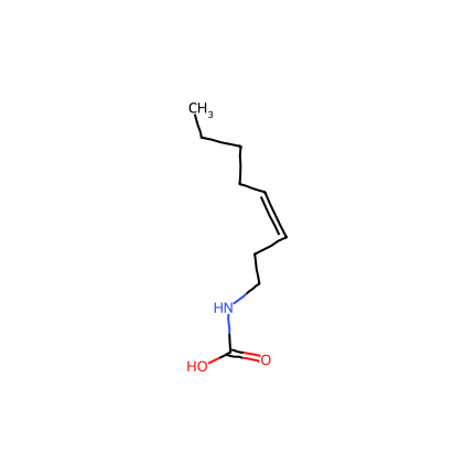 CCCC/C=C\CCNC(=O)O